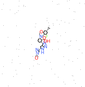 O=C1c2c(F)cc(C3CC3)cc2OCCN1c1cccc(-c2ncnc3[nH]c(-c4cn(C5COC5)cn4)cc23)c1CO